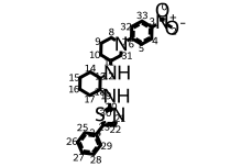 O=[N+]([O-])c1ccc(N2CCCC(N[C@@H]3CCCC[C@H]3Nc3ncc(-c4ccccc4)s3)C2)cc1